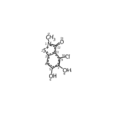 Cn1sc2cc(O)c(O)c(Cl)c2c1=O